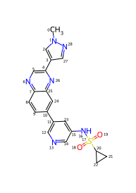 Cn1cc(-c2cnc3ccc(-c4cncc(NS(=O)(=O)C5CC5)c4)cc3n2)cn1